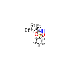 CCC(CC)C[C@@H](CC)NS(=O)(=O)c1ccccc1